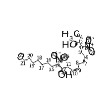 CCC(O)C(C/C=C\C/C=C\CC(O)C(CCCCCC[C]=O)[N+](=O)[O-])[N+](=O)[O-]